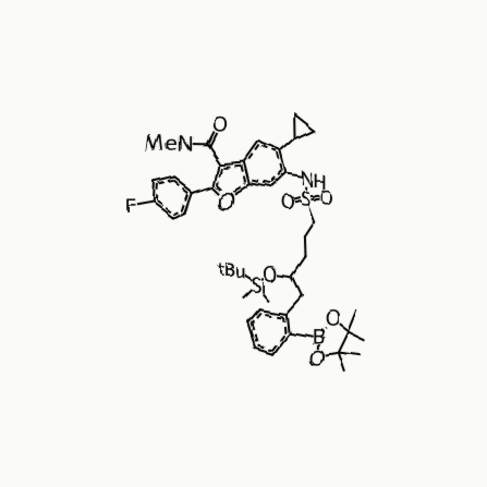 CNC(=O)c1c(-c2ccc(F)cc2)oc2cc(NS(=O)(=O)CCCC(Cc3ccccc3B3OC(C)(C)C(C)(C)O3)O[Si](C)(C)C(C)(C)C)c(C3CC3)cc12